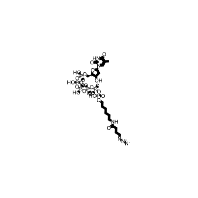 Cc1cn([C@H]2CC(O)[C@@H](COP(=O)(O)OP(=O)(O)OP(=O)(O)OP(=O)(O)OP(=O)(O)OP(=O)(O)OCCCCCCNC(=O)CCCN=[N+]=[N-])O2)c(=O)[nH]c1=O